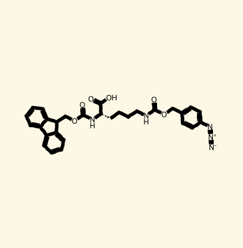 [N-]=[N+]=Nc1ccc(COC(=O)NCCCC[C@H](NC(=O)OCC2c3ccccc3-c3ccccc32)C(=O)O)cc1